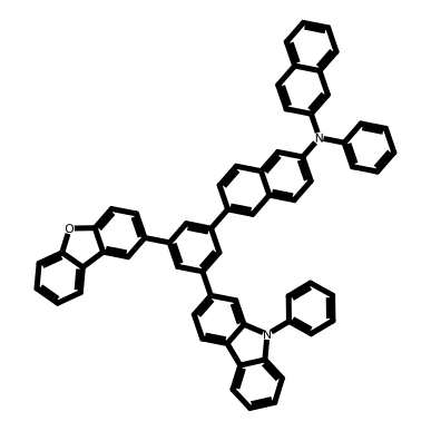 c1ccc(N(c2ccc3ccccc3c2)c2ccc3cc(-c4cc(-c5ccc6oc7ccccc7c6c5)cc(-c5ccc6c7ccccc7n(-c7ccccc7)c6c5)c4)ccc3c2)cc1